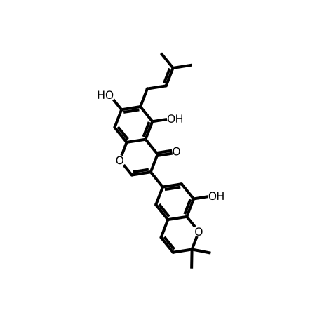 CC(C)=CCc1c(O)cc2occ(-c3cc(O)c4c(c3)C=CC(C)(C)O4)c(=O)c2c1O